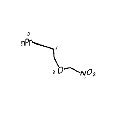 CCC[CH]O[N+](=O)[O-]